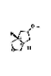 COC1C[C@H]2COC[C@@H]2C1